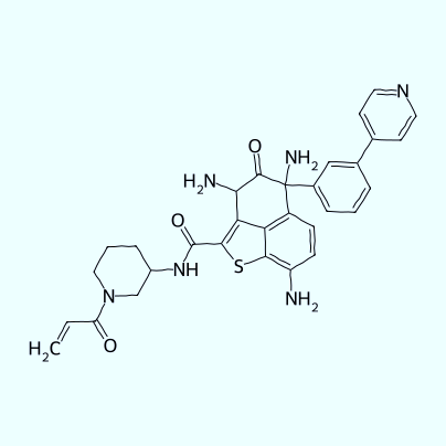 C=CC(=O)N1CCCC(NC(=O)c2sc3c(N)ccc4c3c2C(N)C(=O)C4(N)c2cccc(-c3ccncc3)c2)C1